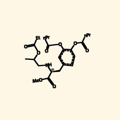 CCCC(=O)Oc1ccc(C[C@H](NCC(C)OC(=O)CC)C(=O)OC)cc1OC(=O)CCC